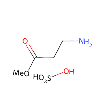 COC(=O)CCN.O=S(=O)(O)O